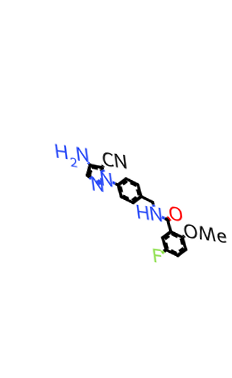 COc1ccc(F)cc1C(=O)NCc1ccc(-n2ncc(N)c2C#N)cc1